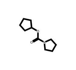 O=C(OC1CCCC1)N1CCCC1